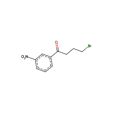 O=C(CCCBr)c1cccc([N+](=O)[O-])c1